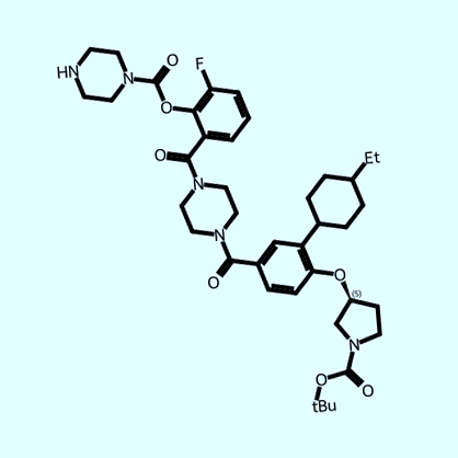 CCC1CCC(c2cc(C(=O)N3CCN(C(=O)c4cccc(F)c4OC(=O)N4CCNCC4)CC3)ccc2O[C@H]2CCN(C(=O)OC(C)(C)C)C2)CC1